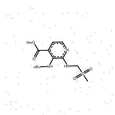 CCCCNc1c(C(=O)OC)ccnc1NCS(C)(=O)=O